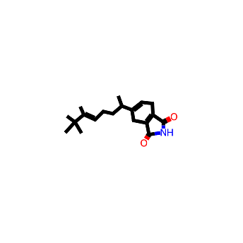 C/C(=C\CCC(C)C1=CCC2=C(C1)C(=O)NC2=O)C(C)(C)C